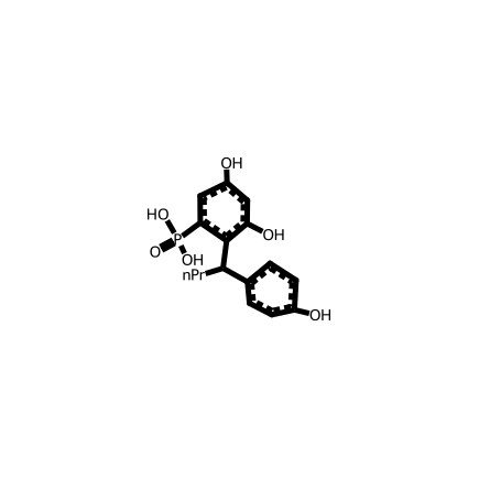 CCCC(c1ccc(O)cc1)c1c(O)cc(O)cc1P(=O)(O)O